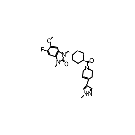 COc1cc2c(cc1F)n(C)c(=O)n2C[C@H]1CC[C@H](C(=O)N2CC=C(c3cnn(C)c3)CC2)CC1